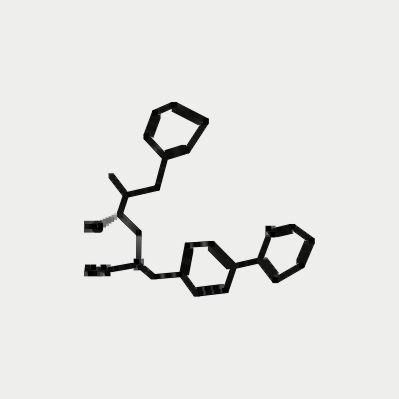 CNN(Cc1ccc(-c2ccccn2)cc1)C[C@H](O)C(C)Cc1ccccc1